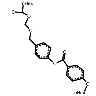 CCCCCCOc1ccc(C(=O)Oc2ccc(COCOC(C)CCCCCC)cc2)cc1